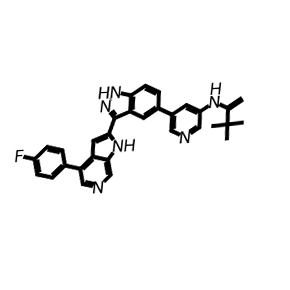 C=C(Nc1cncc(-c2ccc3[nH]nc(-c4cc5c(-c6ccc(F)cc6)cncc5[nH]4)c3c2)c1)C(C)(C)C